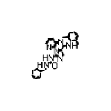 Cc1cccc(C)c1Nc1nc2cccnc2n2c(NC(=O)NCc3ccccc3)ncc12